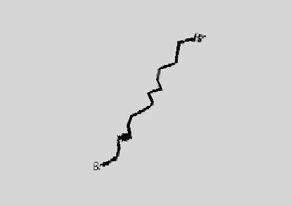 BrCC=CCCCCCCCBr